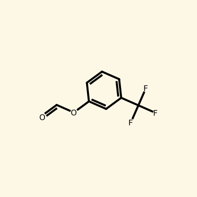 O=COc1cccc(C(F)(F)F)c1